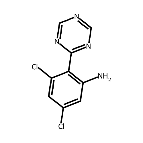 Nc1cc(Cl)cc(Cl)c1-c1ncncn1